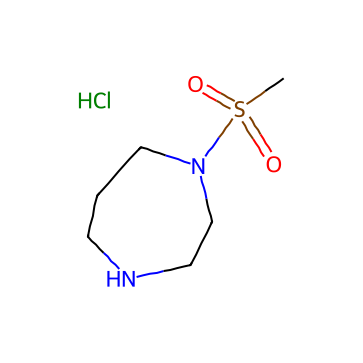 CS(=O)(=O)N1CCCNCC1.Cl